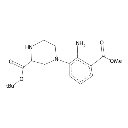 COC(=O)c1cccc(N2CCNC(C(=O)OC(C)(C)C)C2)c1N